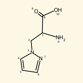 NC(Cn1cccn1)C(=O)O